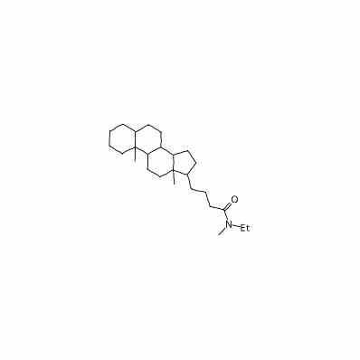 CCN(C)C(=O)CCCC1CCC2C3CCC4CCCCC4(C)C3CCC12C